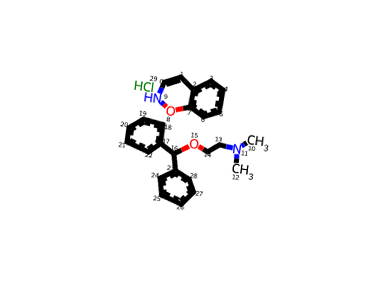 C1=Cc2ccccc2ON1.CN(C)CCOC(c1ccccc1)c1ccccc1.Cl